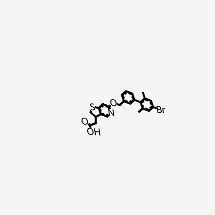 Cc1cc(Br)cc(C)c1-c1cccc(COc2cc3c(cn2)C(CC(=O)O)CS3)c1